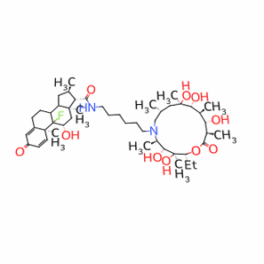 CC[C@H]1OC(=O)[C@H](C)[C@@H](O)[C@H](C)[C@@H](O)[C@](C)(O)C[C@@H](C)CN(CCCCCCNC(=O)[C@H]2[C@H](C)CC3C4CCC5=CC(=O)C=C[C@]5(C)[C@@]4(F)[C@@H](O)C[C@@]32C)[C@H](C)[C@@H](O)[C@]1(C)O